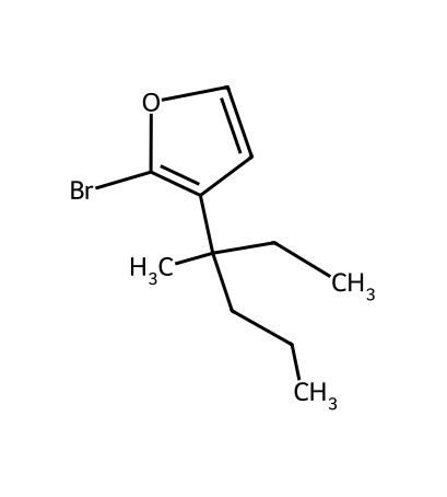 CCCC(C)(CC)c1ccoc1Br